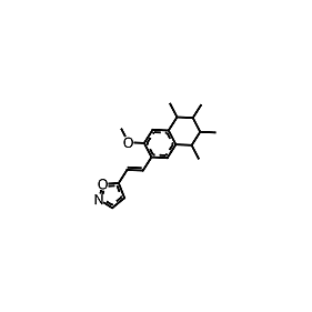 COc1cc2c(cc1C=Cc1ccno1)C(C)C(C)C(C)C2C